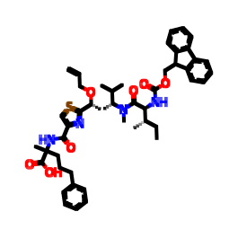 C=CCO[C@H](C[C@H](C(C)C)N(C)C(=O)[C@@H](NC(=O)OCC1c2ccccc2-c2ccccc21)[C@@H](C)CC)c1nc(C(=O)NC(C)(CCCc2ccccc2)C(=O)O)cs1